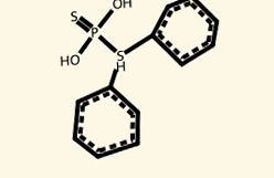 OP(O)(=S)[SH](c1ccccc1)c1ccccc1